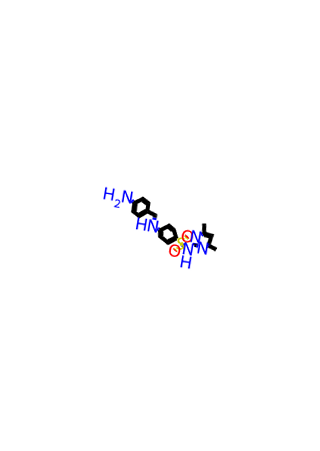 Cc1cc(C)nc(NS(=O)(=O)c2ccc(NCc3ccc(N)cc3)cc2)n1